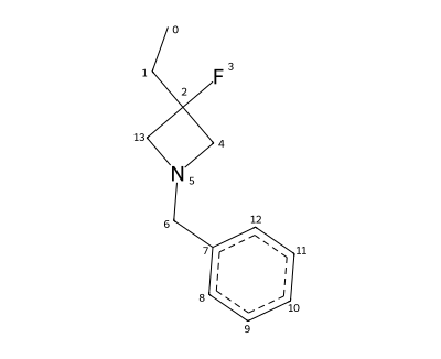 CCC1(F)CN(Cc2ccccc2)C1